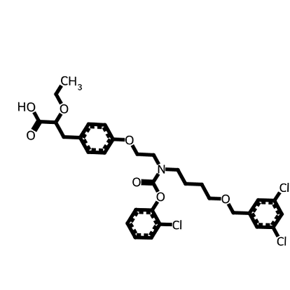 CCOC(Cc1ccc(OCCN(CCCCOCc2cc(Cl)cc(Cl)c2)C(=O)Oc2ccccc2Cl)cc1)C(=O)O